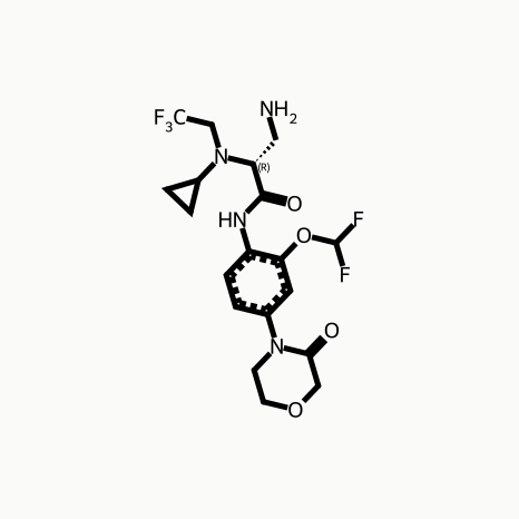 NC[C@H](C(=O)Nc1ccc(N2CCOCC2=O)cc1OC(F)F)N(CC(F)(F)F)C1CC1